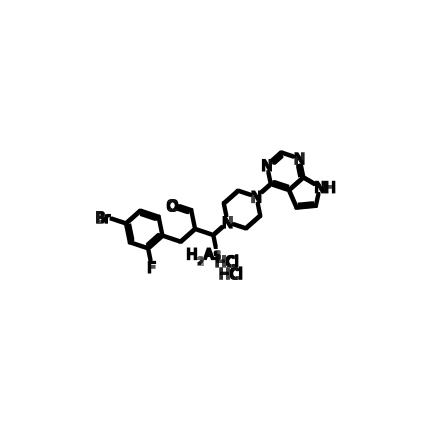 Cl.Cl.O=CC(Cc1ccc(Br)cc1F)C([AsH2])N1CCN(c2ncnc3[nH]ccc23)CC1